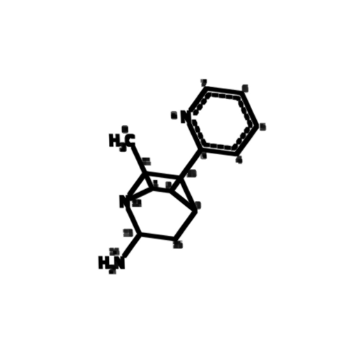 CC1C(c2ccccn2)C2CCN1C(N)C2